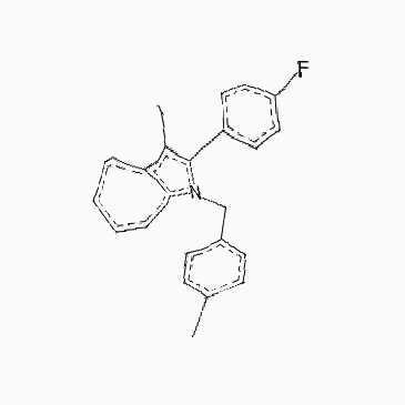 Cc1ccc(Cn2c(-c3ccc(F)cc3)c(C)c3ccccc32)cc1